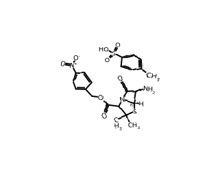 CC1(C)S[C@H]2C(N)C(=O)N2C1C(=O)OCc1ccc([N+](=O)[O-])cc1.Cc1ccc(S(=O)(=O)O)cc1